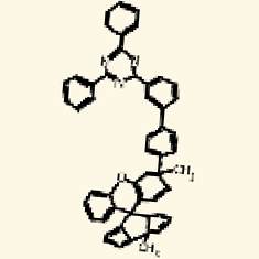 CC1(c2ccc(-c3cccc(-c4nc(-c5ccccc5)nc(-c5ccccc5)n4)c3)cc2)C=CC2=C(C1)Oc1ccccc1C21c2ccccc2C2(C)C=CC=CC21